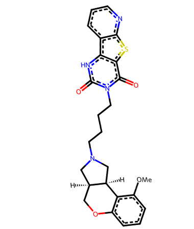 COc1cccc2c1[C@@H]1CN(CCCCn3c(=O)[nH]c4c(sc5ncccc54)c3=O)C[C@@H]1CO2